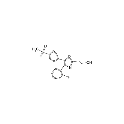 CS(=O)(=O)c1ccc(-c2oc(CCO)nc2-c2ccccc2F)cc1